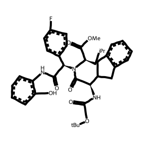 COC(=O)[C@@H](CC(C)C)N(C(=O)[C@H](NC(=O)OC(C)(C)C)C1Cc2ccccc2C1)[C@@H](C(=O)Nc1ccccc1O)c1ccc(F)cc1